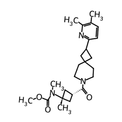 COC(=O)N(C)[C@]1(C)C[C@H](C(=O)N2CCC3(CC2)CC(c2ccc(C)c(C)n2)C3)C1